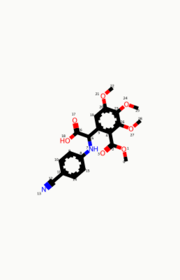 COC(=O)c1c(C(Nc2ccc(C#N)cc2)C(=O)O)cc(OC)c(OC)c1OC